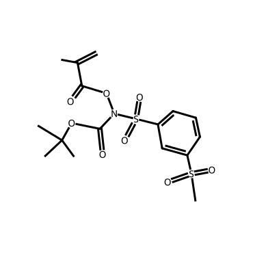 C=C(C)C(=O)ON(C(=O)OC(C)(C)C)S(=O)(=O)c1cccc(S(C)(=O)=O)c1